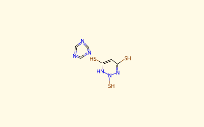 SC1=CC(S)=NN(S)N1.c1ncncn1